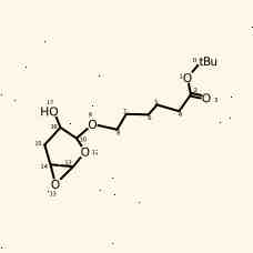 CC(C)(C)OC(=O)CCCCCOC1OC2OC2CC1O